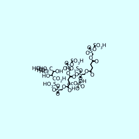 CC(=O)OP(=O)(O)O.Cl.Cl.Cl.Cl.O=C(CCC(=O)OCS(=O)(=O)OS(=O)(=O)O)OCS(=O)(=O)OS(=O)(=O)O.O=C(CCC(=O)OCS(=O)(=O)OS(=O)(=O)O)OCS(=O)(=O)OS(=O)(=O)O.O=C(O)C(O)C(O)C(=O)O